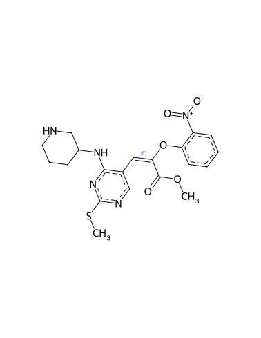 COC(=O)/C(=C\c1cnc(SC)nc1NC1CCCNC1)Oc1ccccc1[N+](=O)[O-]